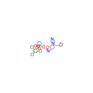 CN1CCN(C2(CCc3ccccc3)CCC(CN(C)C(=O)COCC3CCCCN3S(=O)(=O)c3c(Cl)cc(Cl)cc3Cl)CC2)CC1